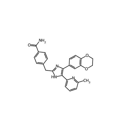 Cc1cccc(-c2[nH]c(Cc3ccc(C(N)=O)cc3)nc2-c2ccc3c(c2)OCCO3)n1